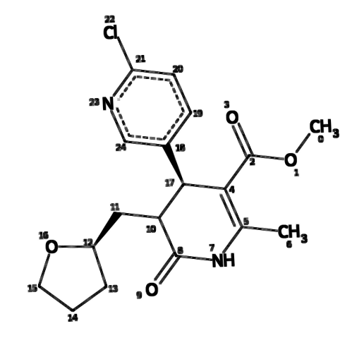 COC(=O)C1=C(C)NC(=O)C(C[C@H]2CCCO2)[C@H]1c1ccc(Cl)nc1